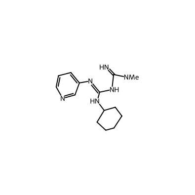 CNC(=N)NC(=Nc1cccnc1)NC1CCCCC1